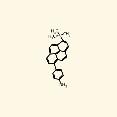 C[Si](C)(C)c1ccc2ccc3c(-c4ccc(N)cc4)ccc4ccc1c2c43